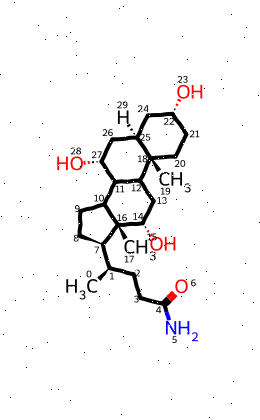 C[C@H](CCC(N)=O)[C@H]1CCC2C3C(C[C@H](O)[C@@]21C)[C@@]1(C)CC[C@@H](O)C[C@@H]1C[C@H]3O